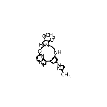 CO[C@@H]1C[C@H]2COc3ccn4ncc(c4n3)-c3cc(cc(-n4ccc(C)n4)c3)NCCN2C1=O